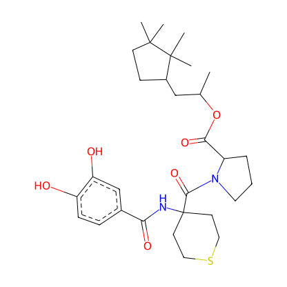 CC(CC1CCC(C)(C)C1(C)C)OC(=O)C1CCCN1C(=O)C1(NC(=O)c2ccc(O)c(O)c2)CCSCC1